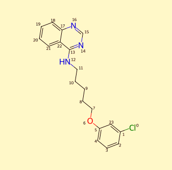 Clc1cccc(OCCCCCNc2ncnc3ccccc23)c1